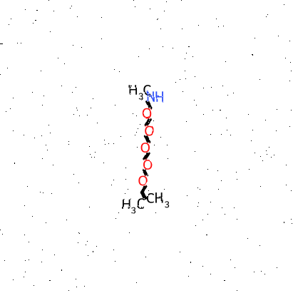 CNCCOCCOCCOCCOCCOCCC(C)C